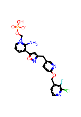 Nc1c(-c2cc(Cc3ccc(OCc4ccnc(Cl)c4F)nc3)no2)ccc[n+]1COP(=O)([O-])O